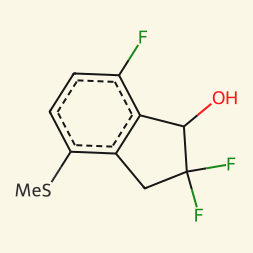 CSc1ccc(F)c2c1CC(F)(F)C2O